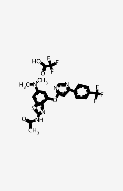 CC(=O)Nc1nc2c(Oc3cc(-c4ccc(C(F)(F)F)cc4)ncn3)cc(N(C)C)cc2s1.O=C(O)C(F)(F)F